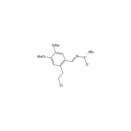 COc1cc(/C=N/[S@@+]([O-])C(C)(C)C)c(CCCl)cc1OC